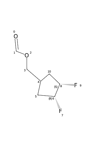 O=COCC1C[C@@H](F)[C@@H](F)C1